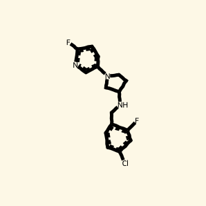 Fc1ccc(N2CCC(NCc3ccc(Cl)cc3F)C2)cn1